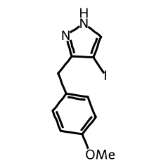 COc1ccc(Cc2n[nH]cc2I)cc1